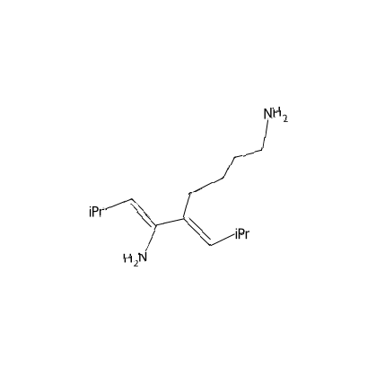 CC(C)C=C(N)C(=CC(C)C)CCCCN